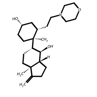 C=C1CC[C@H]2[C@H](O)[C@@H]([C@@]3(C)CC[C@H](O)C[C@@H]3CCN3CCOCC3)CC[C@]12C